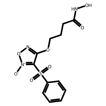 O=C(CCCOc1no[n+]([O-])c1S(=O)(=O)c1ccccc1)NO